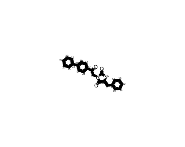 O=C(CN1C(=O)SC(=Cc2ccccc2)C1=O)c1ccc(-c2ccccc2)cc1